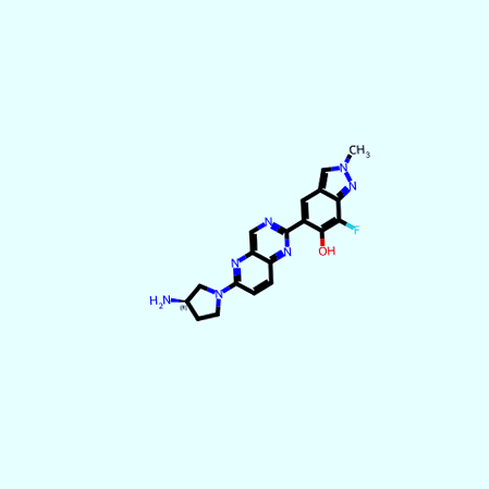 Cn1cc2cc(-c3ncc4nc(N5CC[C@@H](N)C5)ccc4n3)c(O)c(F)c2n1